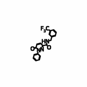 O=C(NCc1cccc(C(F)(F)F)c1)c1ccc(=O)n(-c2ccccc2)n1